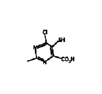 Cc1nc(Cl)c(S)c(C(=O)O)n1